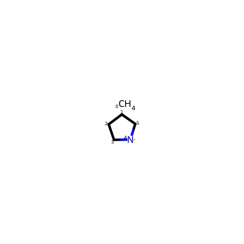 C.C1CC[N]C1